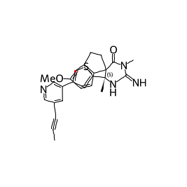 CC#Cc1cncc(-c2csc([C@@]3(C)NC(=N)N(C)C(=O)C34CCc3cc(OC)ccc34)c2)c1